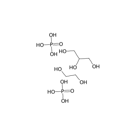 O=P(O)(O)O.O=P(O)(O)O.OCC(O)CO.OCCO